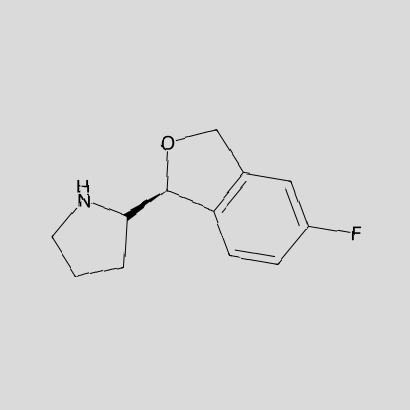 Fc1ccc2c(c1)CO[C@@H]2C1CCCN1